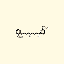 COc1ccccc1OCCCNCCCNc1nccc(C(=O)O)n1